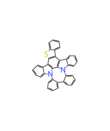 c1ccc2c(c1)sc1c2c2c3ccccc3n3c4ccccc4c4ccccc4n4c5ccccc5c1c4c23